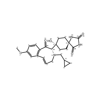 COc1ccc2c(c1)/C=C/CN(CC1CC1)[C@@H]([C@]1(O)CC[C@@]3(CC1)NC(=O)NC3=O)C2=O